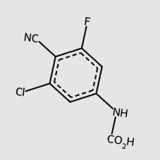 N#Cc1c(F)cc(NC(=O)O)cc1Cl